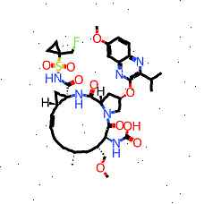 COC[C@@H]1C[C@H](C)CCC=C[C@@H]2C[C@@]2(C(=O)NS(=O)(=O)C2(CF)CC2)NC(=O)[C@@H]2C[C@@H](Oc3nc4cc(OC)ccc4nc3C(C)C)CN2C(=O)[C@H]1NC(=O)O